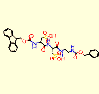 O=C(NCCNC(=O)[C@H](CS(=O)(=O)O)NC(=O)[C@H](CS(=O)(=O)O)NC(=O)OCC1c2ccccc2-c2ccccc21)OCc1ccccc1